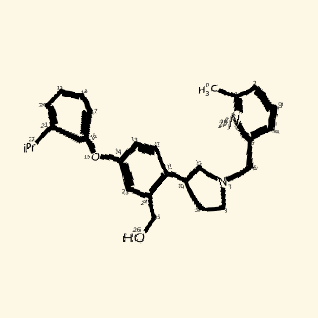 Cc1cccc(CN2CCC(c3ccc(Oc4ccccc4C(C)C)cc3CO)C2)n1